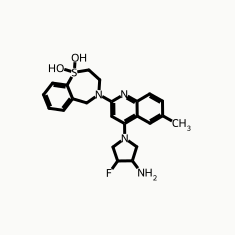 Cc1ccc2nc(N3CCS(O)(O)c4ccccc4C3)cc(N3CC(N)C(F)C3)c2c1